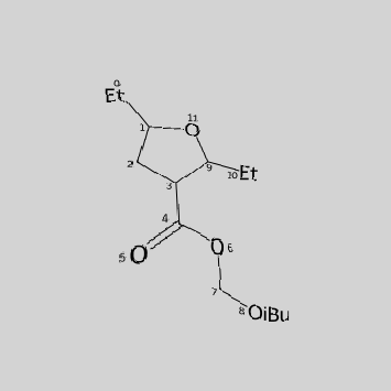 CCC1CC(C(=O)OCOCC(C)C)C(CC)O1